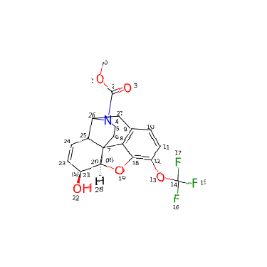 COC(=O)N1CCC23c4c5ccc(OC(F)(F)F)c4O[C@H]2[C@@H](O)C=CC3C1C5